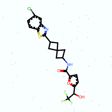 O=C(NC1CC2(C1)CC(c1nc3cc(Cl)ccc3s1)C2)c1ccc(C(O)C(F)(F)F)o1